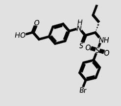 CCC[C@H](NS(=O)(=O)c1ccc(Br)cc1)C(=S)Nc1ccc(CC(=O)O)cc1